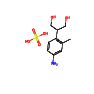 Cc1cc(N)ccc1C(CO)CO.O=S(=O)(O)O